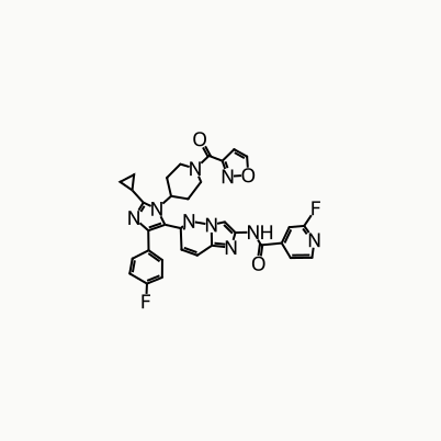 O=C(Nc1cn2nc(-c3c(-c4ccc(F)cc4)nc(C4CC4)n3C3CCN(C(=O)c4ccon4)CC3)ccc2n1)c1ccnc(F)c1